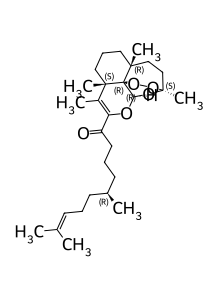 CC(C)=CCC[C@H](C)CCCC(=O)C1=C(C)[C@]2(C)CCC[C@]3(C)CC[C@]4(C)OO[C@]32[C@H](O1)O4